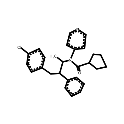 CC(C(Cc1ccc(Cl)cc1)c1ccccc1)N(C(=O)C1CCCC1)c1ccncc1